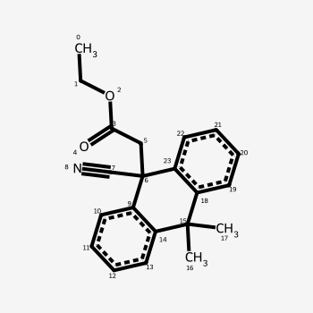 CCOC(=O)CC1(C#N)c2ccccc2C(C)(C)c2ccccc21